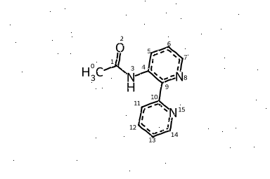 CC(=O)Nc1cccnc1-c1ccccn1